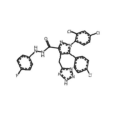 O=C(NNc1ccc(F)cc1)c1nn(-c2ccc(Cl)cc2Cl)c(-c2ccc(Cl)cc2)c1Cc1nn[nH]n1